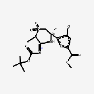 COC(=O)c1cc(Cl)c([C@]2(C)CS(=O)(=O)C(C)/C(=N\C(=O)OC(C)(C)C)N2)s1